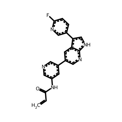 C=CC(=O)Nc1cncc(-c2cnc3[nH]cc(-c4ccc(F)nc4)c3c2)c1